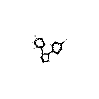 Fc1ccc(C2SC=CN2c2ccncn2)cc1